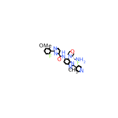 COc1cccc(F)c1-c1nccc(C(=O)Nc2ccc3c(nc(-c4ccncc4F)n3C)c2N2CCOC[C@@H]2CN)n1